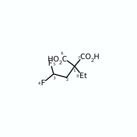 CCC(CC(F)F)(C(=O)O)C(=O)O